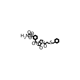 NC(=O)S(=O)(=O)c1cccc(C(=O)N2CC(=O)C3C2CCN3C(=O)[CH]CSCc2ccccc2)c1